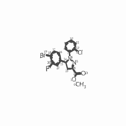 COC(=O)C1=NN(c2ccccc2Cl)C(c2ccc(Br)c(F)c2)C1